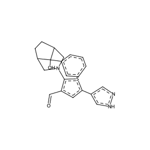 O=Cc1cc(-c2cn[nH]c2)sc1N1CC2CCC(C1)C2(O)c1ccccc1